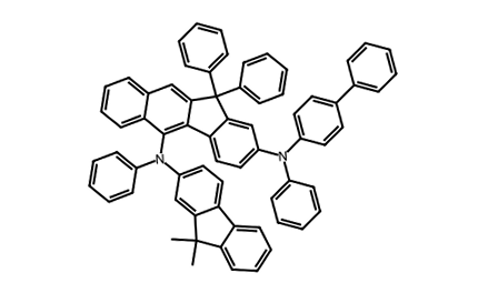 CC1(C)c2ccccc2-c2ccc(N(c3ccccc3)c3c4c(cc5ccccc35)C(c3ccccc3)(c3ccccc3)c3cc(N(c5ccccc5)c5ccc(-c6ccccc6)cc5)ccc3-4)cc21